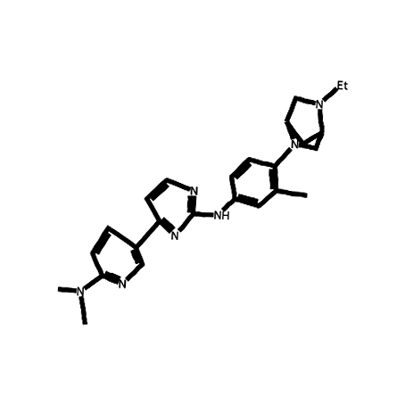 CCN1CC2CC1CN2c1ccc(Nc2nccc(-c3ccc(N(C)C)nc3)n2)cc1C